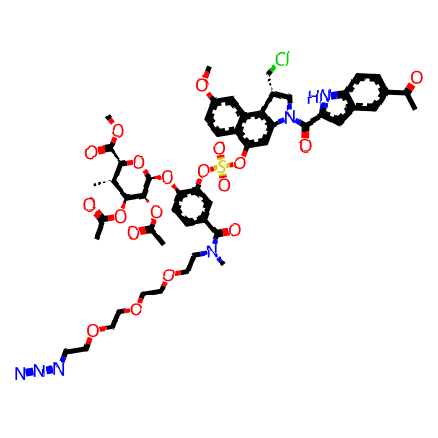 COC(=O)[C@H]1O[C@@H](Oc2ccc(C(=O)N(C)CCOCCOCCOCCN=[N+]=[N-])cc2OS(=O)(=O)Oc2cc3c(c4cc(OC)ccc24)[C@H](CCl)CN3C(=O)c2cc3cc(C(C)=O)ccc3[nH]2)[C@H](OC(C)=O)[C@@H](OC(C)=O)[C@@H]1C